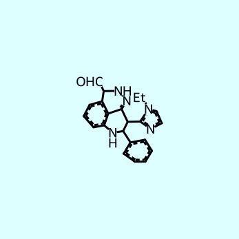 CCn1ccnc1C1C2=NNC(C=O)c3cccc(c32)NC1c1ccccc1